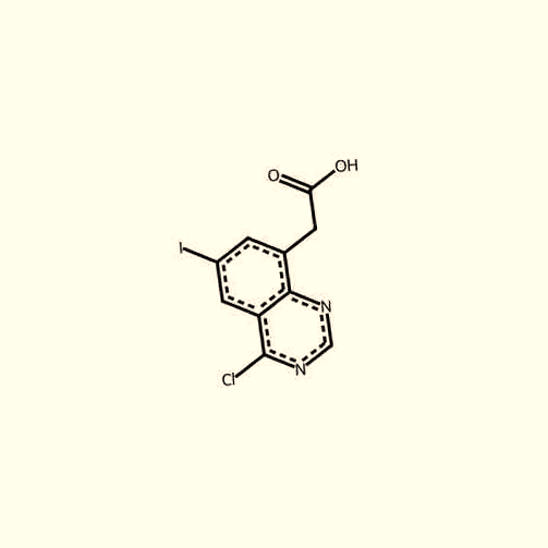 O=C(O)Cc1cc(I)cc2c(Cl)ncnc12